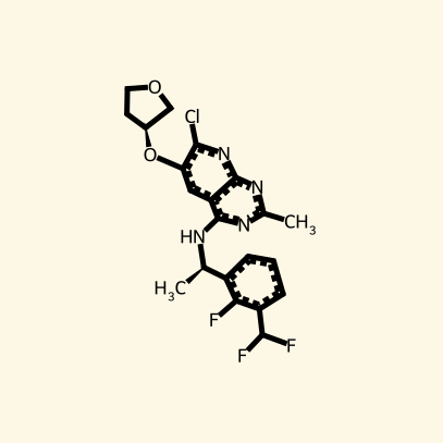 Cc1nc(N[C@H](C)c2cccc(C(F)F)c2F)c2cc(O[C@H]3CCOC3)c(Cl)nc2n1